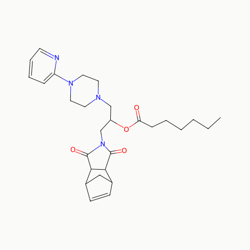 CCCCCCC(=O)OC(CN1CCN(c2ccccn2)CC1)CN1C(=O)C2C3C=CC(C3)C2C1=O